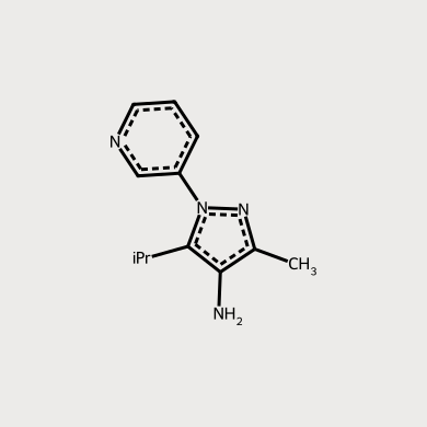 Cc1nn(-c2cccnc2)c(C(C)C)c1N